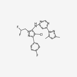 Cc1cc(C)n(-c2cc(Nc3c(Cl)c(-c4ccc(F)cc4)nn3CC(F)F)ncn2)n1